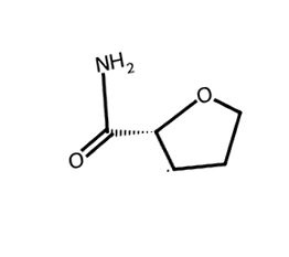 NC(=O)[C@H]1[CH]CCO1